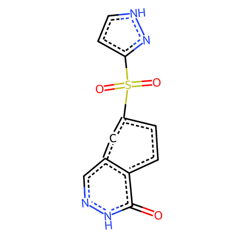 O=c1[nH]ncc2cc(S(=O)(=O)c3cc[nH]n3)ccc12